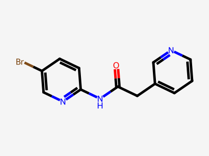 O=C(Cc1cccnc1)Nc1ccc(Br)cn1